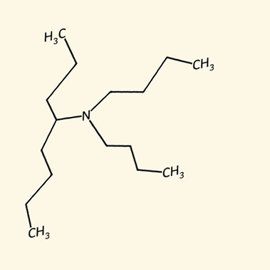 CCCCC(CCC)N(CCCC)CCCC